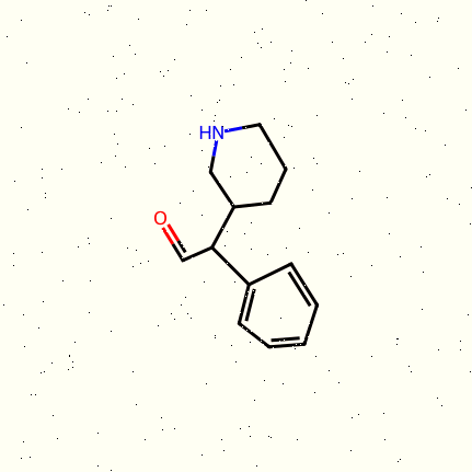 O=CC(c1ccccc1)C1CCCNC1